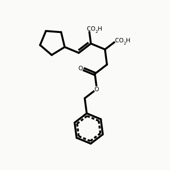 O=C(CC(C(=O)O)C(=CC1CCCC1)C(=O)O)OCc1ccccc1